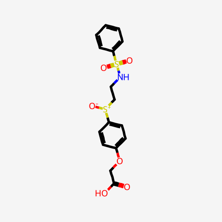 O=C(O)COc1ccc([S+]([O-])CCNS(=O)(=O)c2ccccc2)cc1